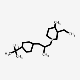 CCC1CN(CC(C)CC2CCC(C(C)(C)C)CC2)CCC1C